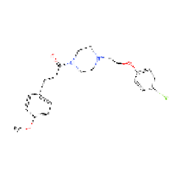 O=C(CCc1ccc(OC(F)(F)F)cc1)N1CCN(CCOc2ccc(F)cc2)CC1